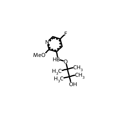 COc1ncc(F)cc1BOC(C)(C)C(C)(C)O